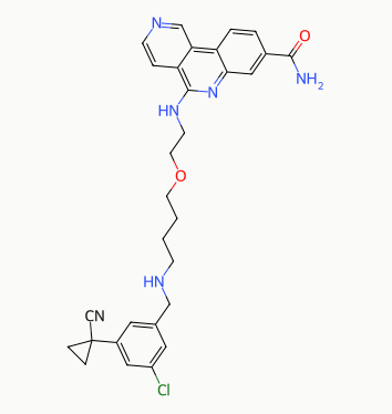 N#CC1(c2cc(Cl)cc(CNCCCCOCCNc3nc4cc(C(N)=O)ccc4c4cnccc34)c2)CC1